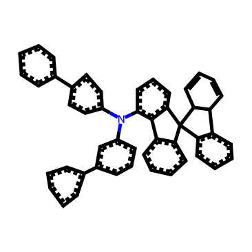 C1=CC2c3ccccc3C3(c4ccccc4-c4c(N(c5ccc(-c6ccccc6)cc5)c5cccc(-c6ccccc6)c5)cccc43)C2C=C1